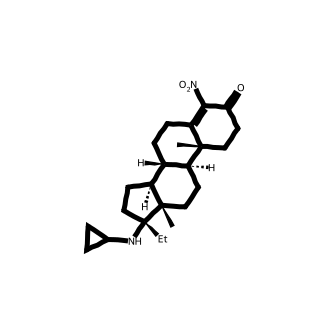 CC[C@@]1(NC2CC2)CC[C@H]2[C@@H]3CCC4=C([N+](=O)[O-])C(=O)CC[C@]4(C)[C@H]3CC[C@@]21C